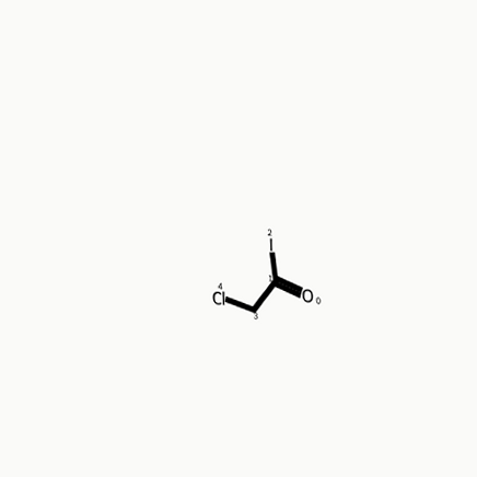 O=C(I)CCl